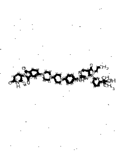 C=CCn1c(=O)c2cnc(Nc3ccc(N4CCC(N5CCN(c6ccc7c(c6)C(=O)N(C6CCC(=O)NC6=O)C7=O)CC5)CC4)cc3)nc2n1-c1cccc(C(C)(C)O)n1